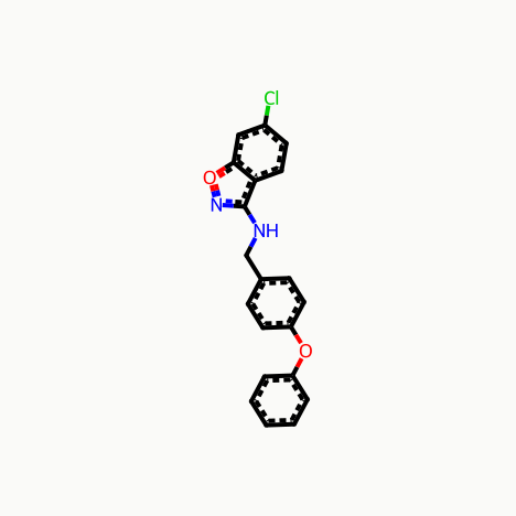 Clc1ccc2c(NCc3ccc(Oc4ccccc4)cc3)noc2c1